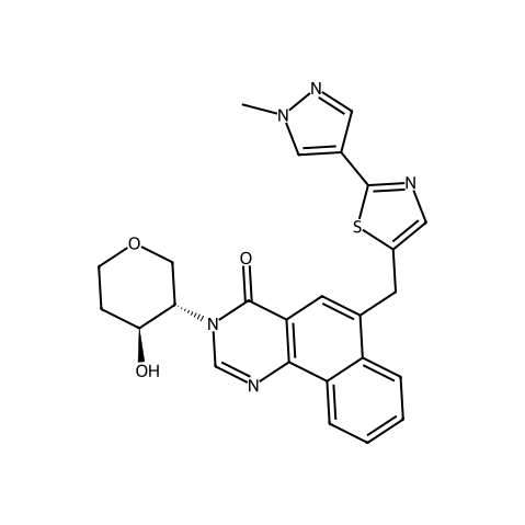 Cn1cc(-c2ncc(Cc3cc4c(=O)n([C@H]5COCC[C@@H]5O)cnc4c4ccccc34)s2)cn1